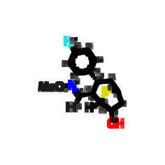 CCC(=NOC)[C@@H]1[C@@H]2SC(CC2O)C[C@H]1c1ccc(F)cc1